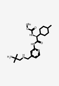 CCCCOC(=O)N[C@H](C(=O)Nc1cc(CNCC(C)(C)N)ccn1)C1CCC(C)CC1